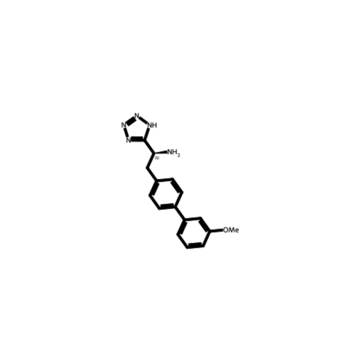 COc1cccc(-c2ccc(C[C@H](N)c3nnn[nH]3)cc2)c1